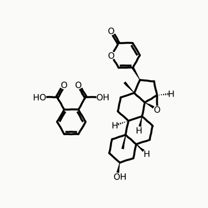 C[C@]12CC[C@H](O)C[C@H]1CC[C@@H]1[C@@H]2CC[C@]2(C)[C@@H](c3ccc(=O)oc3)C[C@H]3O[C@]132.O=C(O)c1ccccc1C(=O)O